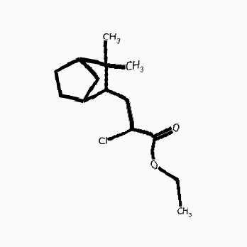 CCOC(=O)C(Cl)CC1C2CCC(C2)C1(C)C